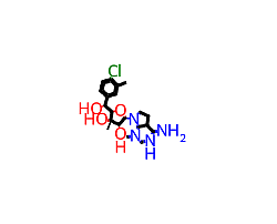 Cc1cc([C@@H](O)[C@H]2O[C@@H](N3CCC4C(N)NCN(C)C43)[C@H](O)[C@]2(C)O)ccc1Cl